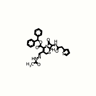 CC(=O)NN=CC1=C(C(=O)OC(c2ccccc2)c2ccccc2)N2C(=O)C(NC(=O)Cc3cccs3)[C@@H]2SC1